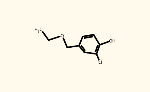 CCOCc1ccc(O)c(Cl)c1